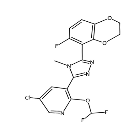 Cn1c(-c2cc(Cl)cnc2OC(F)F)nnc1-c1c(F)ccc2c1OCCO2